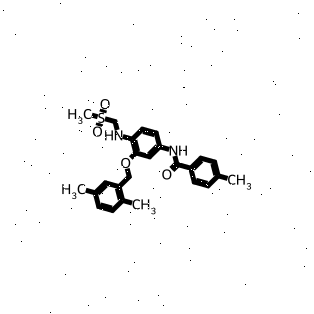 Cc1ccc(C(=O)Nc2ccc(NCS(C)(=O)=O)c(OCc3cc(C)ccc3C)c2)cc1